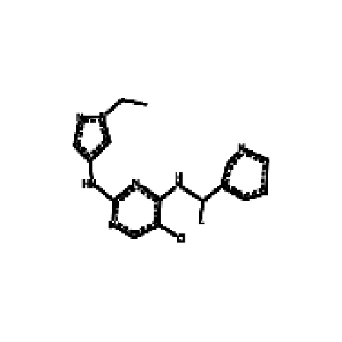 [CH2][C](Nc1nc(Nc2cnn(CC)c2)ncc1Cl)c1cccnc1